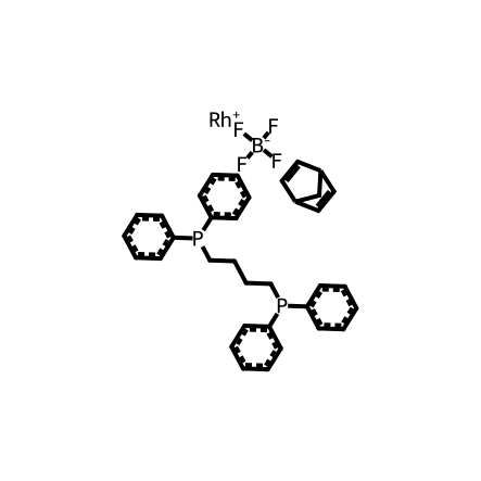 C1=CC2C=CC1C2.F[B-](F)(F)F.[Rh+].c1ccc(P(CCCCP(c2ccccc2)c2ccccc2)c2ccccc2)cc1